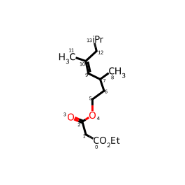 CCOC(=O)CC(=O)OCCC(C)C=C(C)CC(C)C